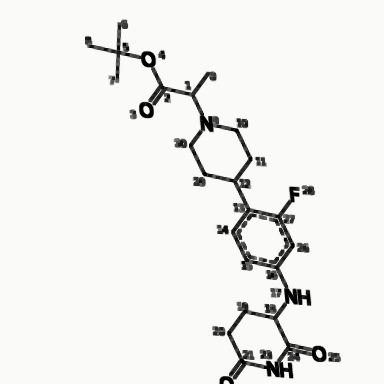 CC(C(=O)OC(C)(C)C)N1CCC(c2ccc(NC3CCC(=O)NC3=O)cc2F)CC1